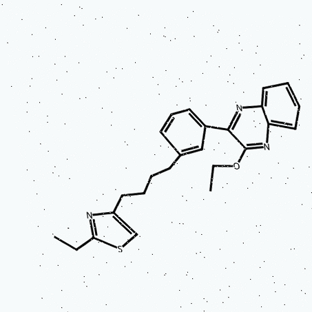 CCOc1nc2ccccc2nc1-c1cccc(CCCCc2csc(CC)n2)c1